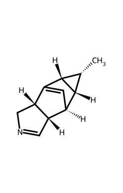 C[C@H]1[C@H]2C3=C[C@H]([C@@H]4C=NC[C@H]34)[C@@H]12